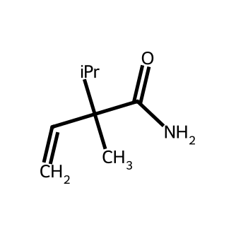 C=CC(C)(C(N)=O)C(C)C